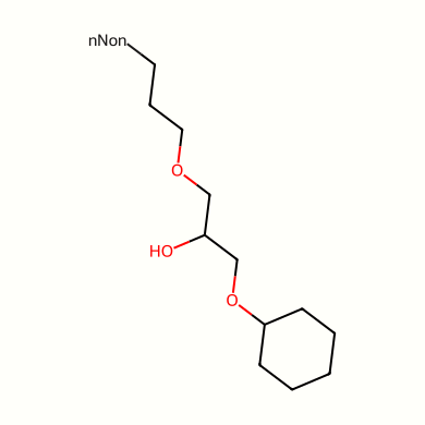 CCCCCCCCCCCCOCC(O)COC1CCCCC1